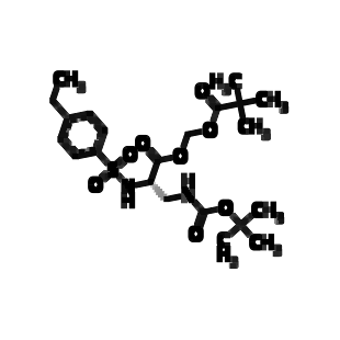 CCc1ccc(S(=O)(=O)N[C@@H](CNC(=O)OC(C)(C)C)C(=O)OCOC(=O)C(C)(C)C)cc1